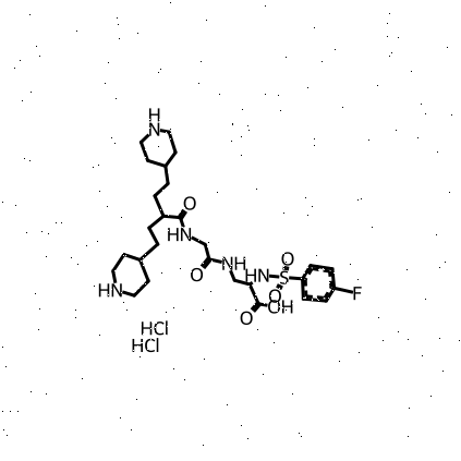 Cl.Cl.O=C(CNC(=O)C(CCC1CCNCC1)CCC1CCNCC1)NCC(NS(=O)(=O)c1ccc(F)cc1)C(=O)O